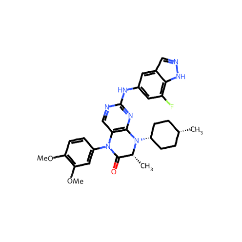 COc1ccc(N2C(=O)[C@@H](C)N([C@H]3CC[C@@H](C)CC3)c3nc(Nc4cc(F)c5[nH]ncc5c4)ncc32)cc1OC